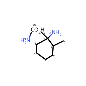 CC1CCCCC1(C)N.NC(=O)O